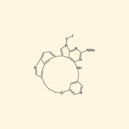 CNc1nc2c3c(cn(SI)c3n1)-c1ccc3ncc(cc3c1)CCCOc1cncc(c1)CN2